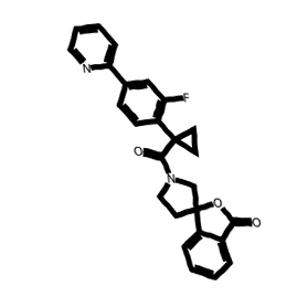 O=C1OC2(CCN(C(=O)C3(c4ccc(-c5ccccn5)cc4F)CC3)C2)c2ccccc21